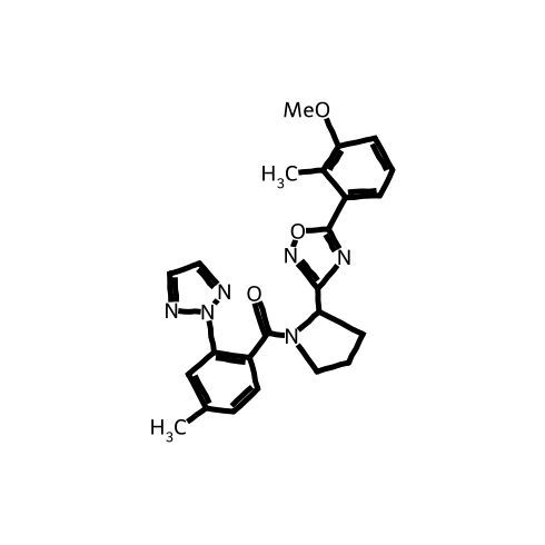 COc1cccc(-c2nc(C3CCCN3C(=O)c3ccc(C)cc3-n3nccn3)no2)c1C